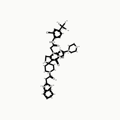 O=C(Cn1c2c(c(=O)n3nc(N4CCOCC4)nc13)C1(CCN(C(=O)Cc3nc4ccccc4o3)CC1)OC2)Nc1ccc(C(F)(F)F)cc1Cl